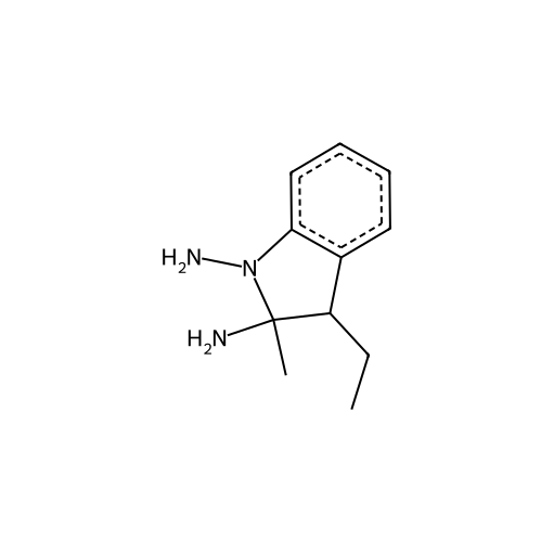 CCC1c2ccccc2N(N)C1(C)N